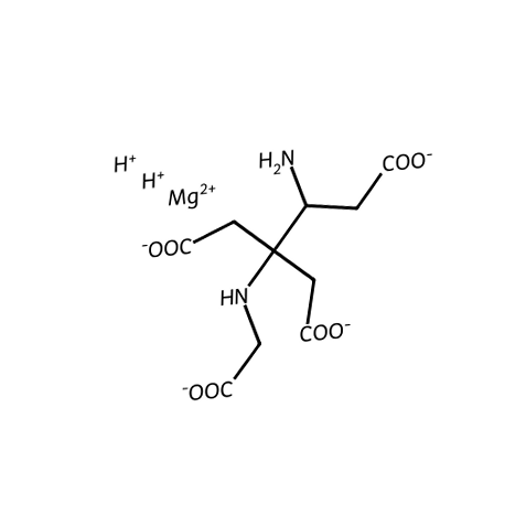 NC(CC(=O)[O-])C(CC(=O)[O-])(CC(=O)[O-])NCC(=O)[O-].[H+].[H+].[Mg+2]